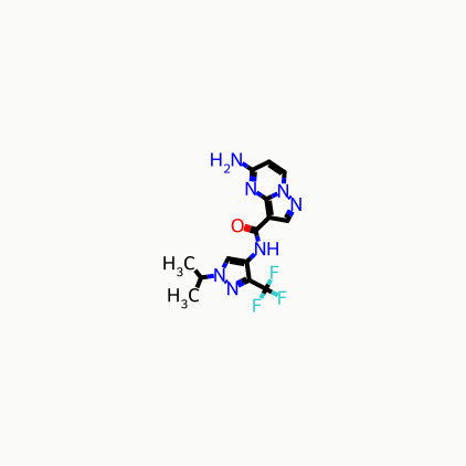 CC(C)n1cc(NC(=O)c2cnn3ccc(N)nc23)c(C(F)(F)F)n1